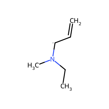 C=C[CH]N(C)CC